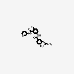 CC(C)Oc1cccc(C(=O)Nc2ccc(Cl)c(C(=O)Nc3cccnc3)c2)c1